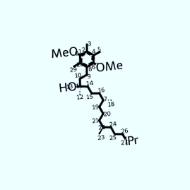 COc1c(C)c(C)c(OC)c(CC[C@](C)(O)CCC[C@H](C)CCC[C@H](C)CCCC(C)C)c1C